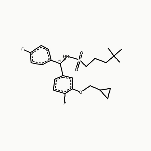 CC(C)(C)CCCS(=O)(=O)N[C@H](c1ccc(F)cc1)c1ccc(F)c(OCC2CC2)c1